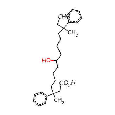 CC(CC=O)(CCCCC(O)CCCCC(C)(CC(=O)O)c1ccccc1)c1ccccc1